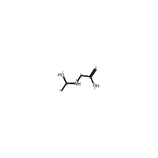 C=C(O)CNC(C)O